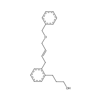 OCCCc1ccccc1CC=CCOCc1ccccc1